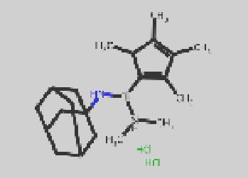 CC1=C(C)C(C)[C]([Ti]([NH]C23CC4CC(CC(C4)C2)C3)[SiH](C)C)=C1C.Cl.Cl